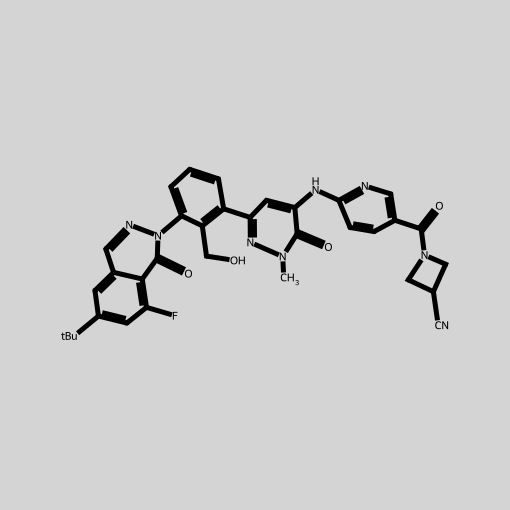 Cn1nc(-c2cccc(-n3ncc4cc(C(C)(C)C)cc(F)c4c3=O)c2CO)cc(Nc2ccc(C(=O)N3CC(C#N)C3)cn2)c1=O